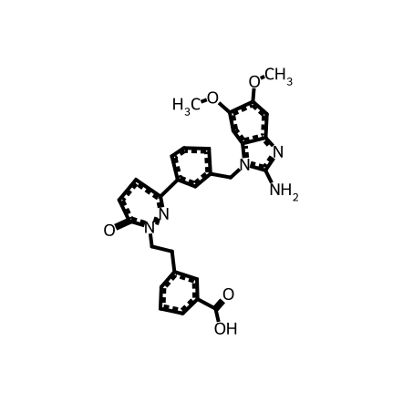 COc1cc2nc(N)n(Cc3cccc(-c4ccc(=O)n(CCc5cccc(C(=O)O)c5)n4)c3)c2cc1OC